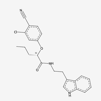 CCC[C@H](Oc1ccc(C#N)c(Cl)c1)C(=O)NCCc1c[nH]c2ccccc12